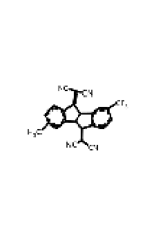 Cc1ccc2c(c1)C1C(C2=C(C#N)C#N)c2cc(C(F)(F)F)ccc2C1C(C#N)C#N